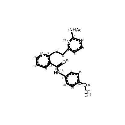 CC(=O)Nc1nccc(CSc2ncccc2C(=O)Nc2ccc(OC(F)(F)F)cc2)n1